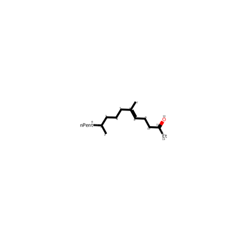 CCCCCC(C)CCCC(C)=CCCC(=O)CC